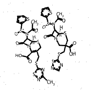 CC(=O)N(C1C(=O)N2C(C(=O)O)=C(CSc3nc(C)ns3)CS[C@H]12)[S+]([O-])c1cccs1.CC(=O)N(C1C(=O)N2CC(CSc3ncns3)(C(=O)O)CS[C@H]12)[S+]([O-])c1cccs1